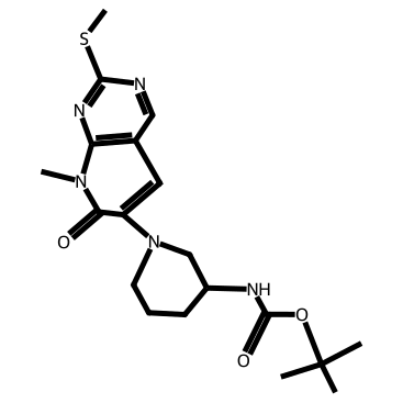 CSc1ncc2cc(N3CCCC(NC(=O)OC(C)(C)C)C3)c(=O)n(C)c2n1